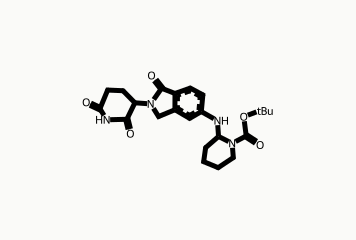 CC(C)(C)OC(=O)N1CCCCC1Nc1ccc2c(c1)CN(C1CCC(=O)NC1=O)C2=O